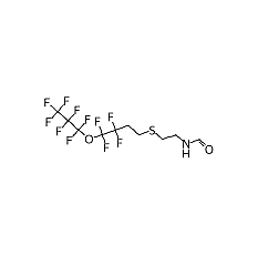 O=CNCCSCCC(F)(F)C(F)(F)OC(F)(F)C(F)(F)C(F)(F)F